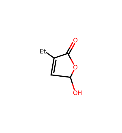 CCC1=CC(O)OC1=O